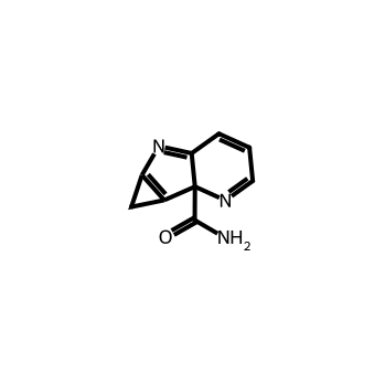 NC(=O)C12N=CC=CC1=NC1=C2C1